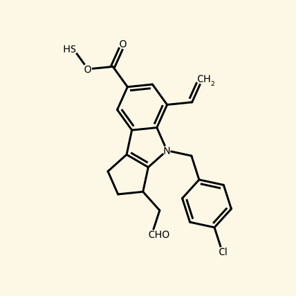 C=Cc1cc(C(=O)OS)cc2c3c(n(Cc4ccc(Cl)cc4)c12)C(CC=O)CC3